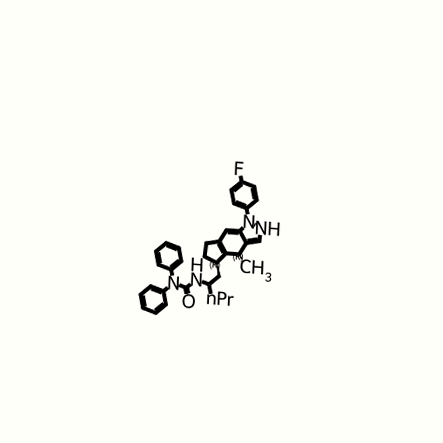 CCCC(C[C@H]1CCC2=C1[C@@H](C)C1=CNN(c3ccc(F)cc3)C1=C2)NC(=O)N(c1ccccc1)c1ccccc1